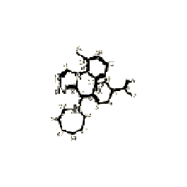 C=C(C)C1CC=C(C(c2nncn2-c2c(C)cccc2C)N2CCCCCC2)CC1